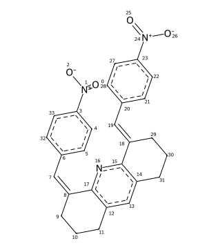 O=[N+]([O-])c1ccc(/C=C2/CCCc3cc4c(nc32)/C(=C/c2ccc([N+](=O)[O-])cc2)CCC4)cc1